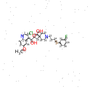 COc1ccc2ncc(Cl)c(C(O)CCC3(C(=O)O)CCN(CCCSc4cccc(F)c4)CC3)c2c1